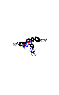 N#Cc1ccc(-c2ccc3c4ccc(-c5ccc(C#N)cc5)cc4n(-c4ccc(-c5ncc(C#N)cn5)cc4-c4ncc(C#N)cn4)c3c2)cc1